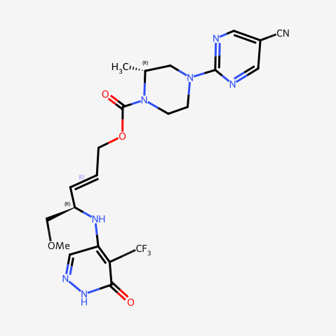 COC[C@@H](/C=C/COC(=O)N1CCN(c2ncc(C#N)cn2)C[C@H]1C)Nc1cn[nH]c(=O)c1C(F)(F)F